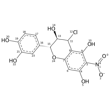 O=[N+]([O-])c1c(O)cc2c(c1O)C(Cl)[C@H](O)[C@@H](c1ccc(O)c(O)c1)O2